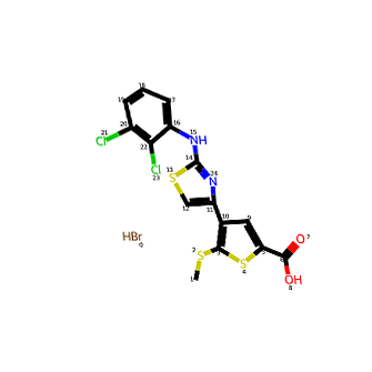 Br.CSc1sc(C(=O)O)cc1-c1csc(Nc2cccc(Cl)c2Cl)n1